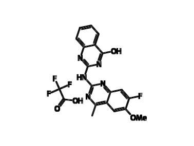 COc1cc2c(C)nc(Nc3nc(O)c4ccccc4n3)nc2cc1F.O=C(O)C(F)(F)F